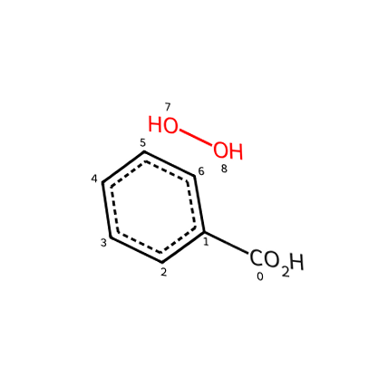 O=C(O)c1ccccc1.OO